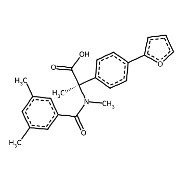 Cc1cc(C)cc(C(=O)N(C)[C@@](C)(C(=O)O)c2ccc(-c3ccco3)cc2)c1